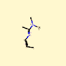 C/C=C\N=C(/C)N(C)CC